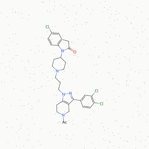 CC(=O)N1CCc2c(c(-c3ccc(Cl)c(Cl)c3)nn2CCCN2CCC(N3C(=O)Cc4cc(Cl)ccc43)CC2)C1